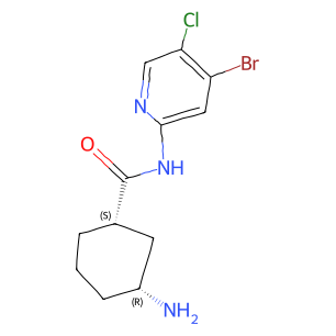 N[C@@H]1CCC[C@H](C(=O)Nc2cc(Br)c(Cl)cn2)C1